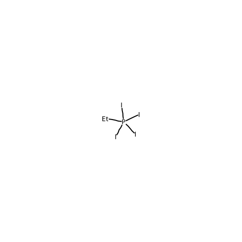 CCP(I)(I)(I)I